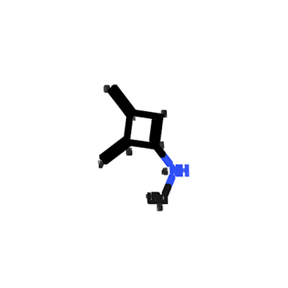 C=C1C=C(NC(C)(C)C)C1=C